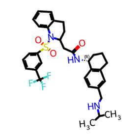 CC(C)NCc1ccc2c(c1)CCC[C@H]2NC(=O)CC1CCc2ccccc2N1S(=O)(=O)c1cccc(C(F)(F)F)c1